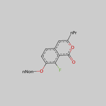 CCCCCCCCCOc1ccc2cc(CCC)oc(=O)c2c1F